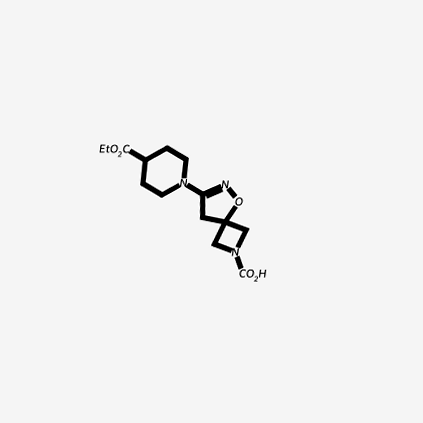 CCOC(=O)C1CCN(C2=NOC3(C2)CN(C(=O)O)C3)CC1